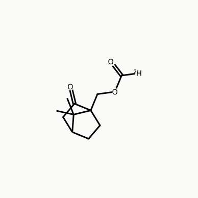 [2H]C(=O)OCC12CCC(CC1=O)C2(C)C